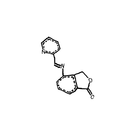 O=C1OCc2c(/N=C/c3ccccn3)cccc21